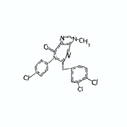 Cn1cnc2c(=O)n(-c3ccc(Cl)cc3)c(Cc3ccc(Cl)c(Cl)c3)nc21